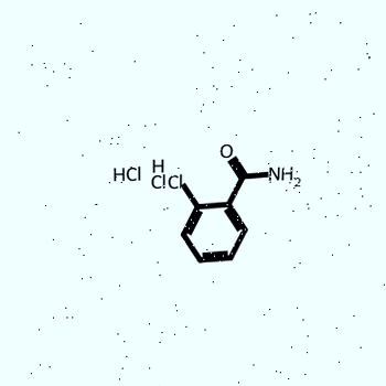 Cl.Cl.NC(=O)c1ccccc1Cl